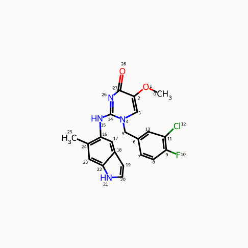 COc1cn(Cc2ccc(F)c(Cl)c2)c(Nc2cc3cc[nH]c3cc2C)nc1=O